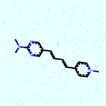 CN(C)c1ncc(/C=C/C=C/c2cc[n+](C)cc2)cn1.[I-]